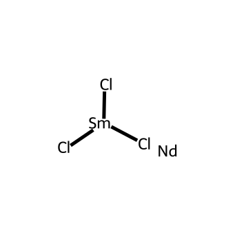 [Cl][Sm]([Cl])[Cl].[Nd]